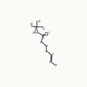 [CH2]C=CCCCC(=O)OC(C)(C)C